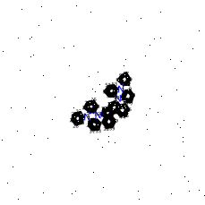 C1=CC(N2C3=C(C=CCC3)N(c3cc4cc(N5c6ccccc6N(c6ccccc6)c6ccccc65)c5ccccc5c4c4ccccc34)c3ccccc32)=CCC1